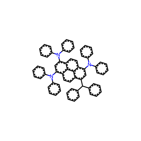 c1ccc(C(c2ccccc2)c2cc(N(c3ccccc3)c3ccccc3)c3ccc4c(N(c5ccccc5)c5ccccc5)cc(N(c5ccccc5)c5ccccc5)c5ccc2c3c54)cc1